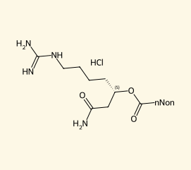 CCCCCCCCCC(=O)O[C@@H](CCCCNC(=N)N)CC(N)=O.Cl